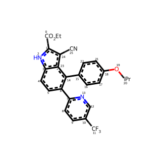 CCOC(=O)c1[nH]c2ccc(-c3ccc(C(F)(F)F)cn3)c(-c3ccc(OC(C)C)cc3)c2c1C#N